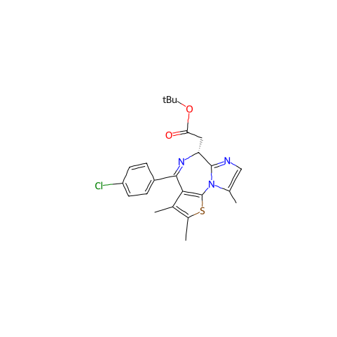 Cc1sc2c(c1C)C(c1ccc(Cl)cc1)=N[C@H](CC(=O)OC(C)(C)C)c1ncc(C)n1-2